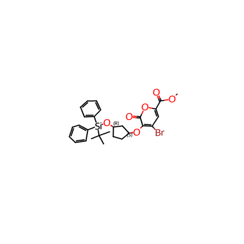 COC(=O)c1cc(Br)c(O[C@H]2CC[C@@H](O[Si](c3ccccc3)(c3ccccc3)C(C)(C)C)C2)c(=O)o1